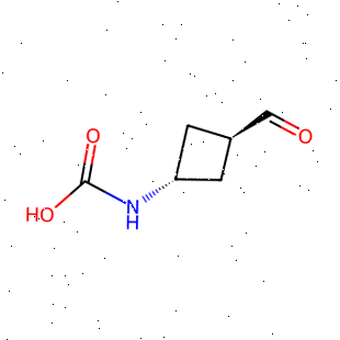 O=C[C@H]1C[C@H](NC(=O)O)C1